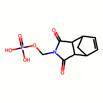 O=C1C2C3C=CC(C3)C2C(=O)N1COP(=O)(O)O